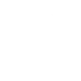 OC/C=C/C=C/c1ccc(C(F)(F)F)cc1